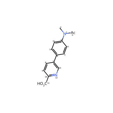 CC(=O)N(C)c1ccc(-c2ccc(C(=O)O)nc2)cc1